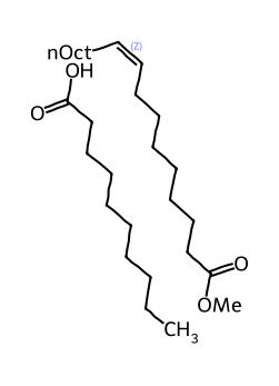 CCCCCCCC/C=C\CCCCCCCC(=O)OC.CCCCCCCCCC(=O)O